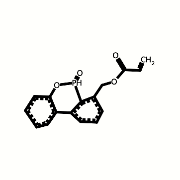 C=CC(=O)OCc1cccc2c1[PH](=O)Oc1ccccc1-2